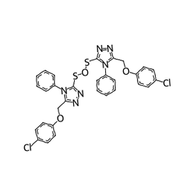 Clc1ccc(OCc2nnc(SOSc3nnc(COc4ccc(Cl)cc4)n3-c3ccccc3)n2-c2ccccc2)cc1